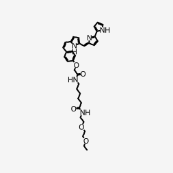 CCOCCOCCNC(=O)CCCCCNC(=O)COc1ccc(/C=C\c2ccc(/C=C3/C=CC(c4ccc[nH]4)=N3)[nH]2)cc1